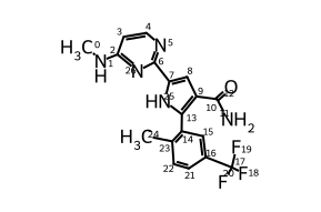 CNc1ccnc(-c2cc(C(N)=O)c(-c3cc(C(F)(F)F)ccc3C)[nH]2)n1